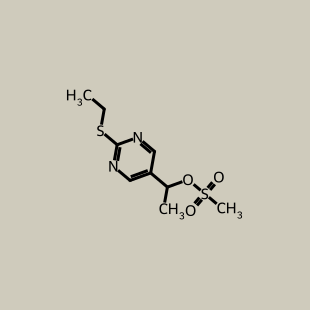 CCSc1ncc(C(C)OS(C)(=O)=O)cn1